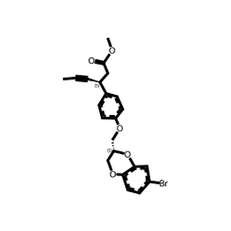 CC#C[C@@H](CC(=O)OC)c1ccc(OC[C@H]2COc3ccc(Br)cc3O2)cc1